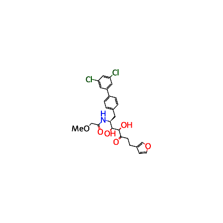 COCC(=O)N[C@@H](Cc1ccc(-c2cc(Cl)cc(Cl)c2)cc1)[C@H](O)[C@@H](O)C(=O)CCc1ccoc1